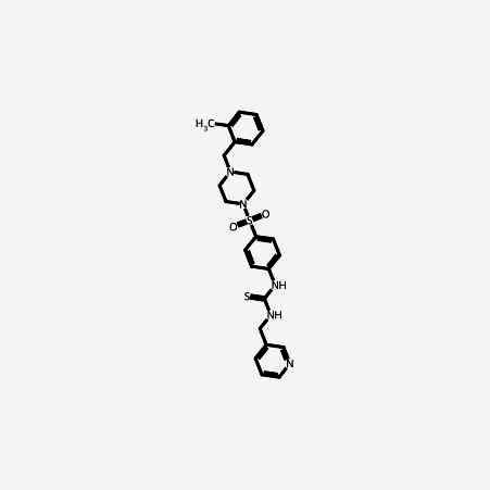 Cc1ccccc1CN1CCN(S(=O)(=O)c2ccc(NC(=S)NCc3cccnc3)cc2)CC1